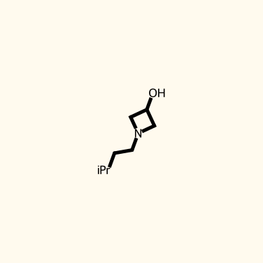 CC(C)CCN1CC(O)C1